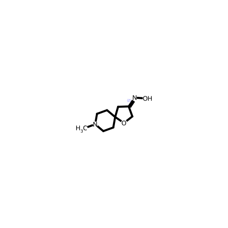 CN1CCC2(CC1)C/C(=N/O)CO2